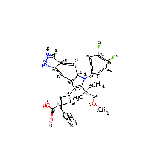 COCC(C)(C)c1c(C2CC(C)(C(=O)O)C2)c2cc3[nH]ncc3cc2n1-c1ccc(F)c(F)c1